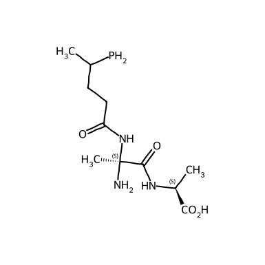 CC(P)CCC(=O)N[C@](C)(N)C(=O)N[C@@H](C)C(=O)O